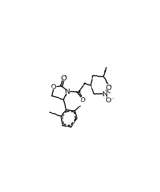 Cc1cccc(C)c1C1COC(=O)N1C(=O)CC(CC(C)C)C[N+](=O)[O-]